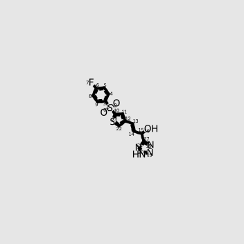 O=S(=O)(c1ccc(F)cc1)c1cc(C=CC(O)c2nn[nH]n2)cs1